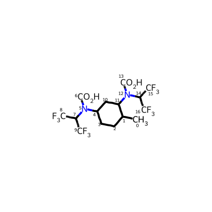 CC1CCC(N(C(=O)O)C(C(F)(F)F)C(F)(F)F)CC1N(C(=O)O)C(C(F)(F)F)C(F)(F)F